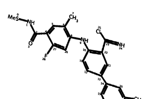 CSNC(=O)c1cc(C)c(Nc2ccc(-c3cccc(C)c3)cc2C(=N)Cl)cc1F